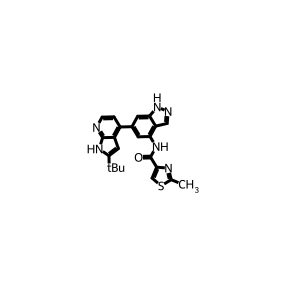 Cc1nc(C(=O)Nc2cc(-c3ccnc4[nH]c(C(C)(C)C)cc34)cc3[nH]ncc23)cs1